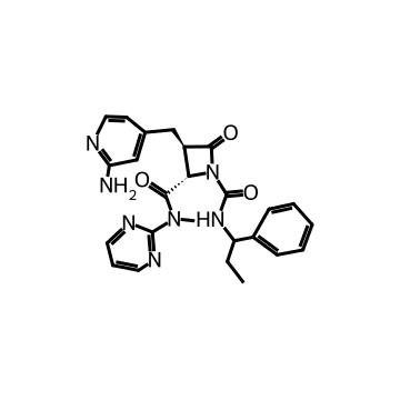 CCC(NC(=O)N1C(=O)[C@H](Cc2ccnc(N)c2)[C@H]1C(=O)N(C)c1ncccn1)c1ccccc1